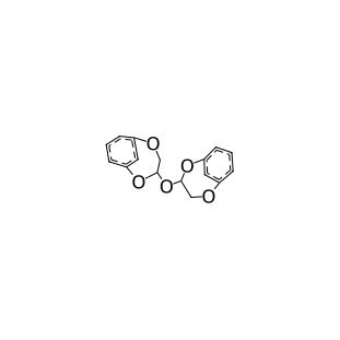 c1cc2cc(c1)OC(OC1COc3cccc(c3)O1)CO2